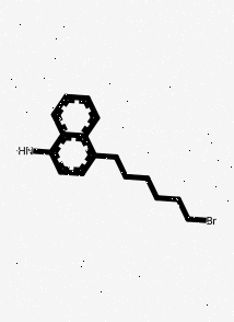 [NH]c1ccc(CCCCCCBr)c2ccccc12